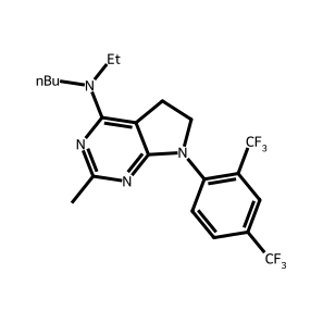 CCCCN(CC)c1nc(C)nc2c1CCN2c1ccc(C(F)(F)F)cc1C(F)(F)F